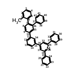 Cc1ccccc1-c1ccc(-c2cccc(-c3cc(-c4ccccc4)nc(-c4ccccc4)c3)c2)cc1-c1ccccc1